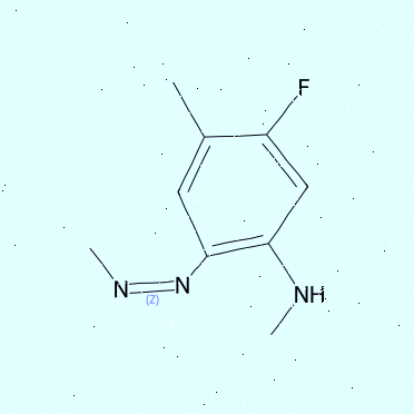 C/N=N\c1cc(C)c(F)cc1NC